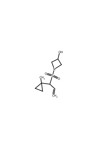 C=CC(C1(C)CC1)S(=O)(=O)N1CC(O)C1